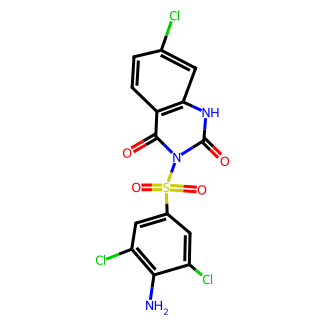 Nc1c(Cl)cc(S(=O)(=O)n2c(=O)[nH]c3cc(Cl)ccc3c2=O)cc1Cl